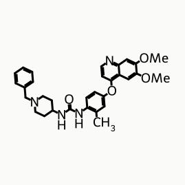 COc1cc2nccc(Oc3ccc(NC(=O)NC4CCN(Cc5ccccc5)CC4)c(C)c3)c2cc1OC